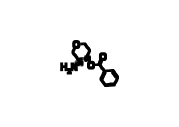 N[C@@H]1COCC[C@@H]1OC(=O)c1ccccc1